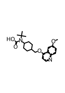 COc1ccc2nccc(OCC3CCC(N(C(=O)O)C(C)(C)C)CC3)c2c1